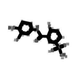 Cc1ccc(NC(=O)c2cc(S(C)(=O)=O)ccc2F)cc1F